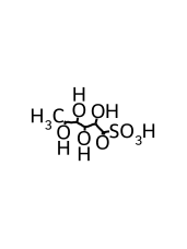 CC(O)C(O)C(O)C(O)C(=O)S(=O)(=O)O